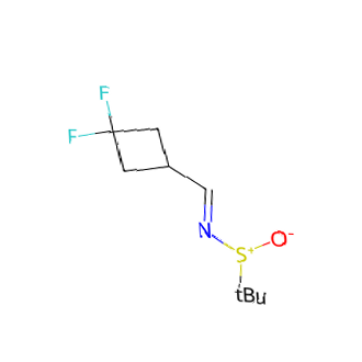 CC(C)(C)[S+]([O-])N=CC1CC(F)(F)C1